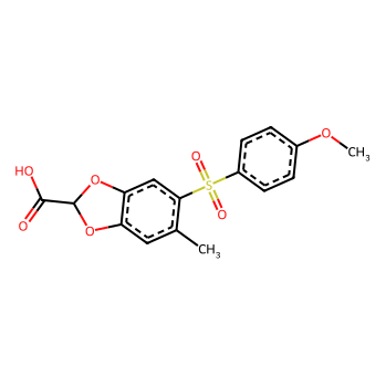 COc1ccc(S(=O)(=O)c2cc3c(cc2C)OC(C(=O)O)O3)cc1